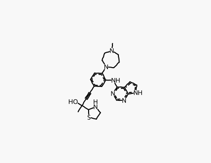 CN1CCCN(c2ccc(C#CC(C)(O)C3NCCS3)cc2Nc2ncnc3[nH]ccc23)CC1